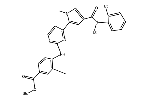 CCc1ccccc1N(CC)C(=O)c1cc(-c2ccnc(Nc3ccc(C(=O)OC(C)(C)C)cc3C)n2)n(C)c1